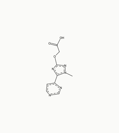 Cn1nc(OCC(=O)O)nc1-c1ccncn1